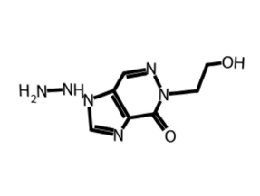 NNn1cnc2c(=O)n(CCO)ncc21